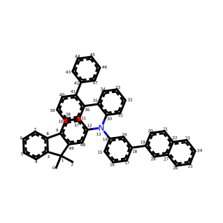 CC1(C)c2ccccc2-c2ccc(N(c3cccc(-c4ccc5ccccc5c4)c3)c3ccccc3-c3ccccc3-c3ccccc3)cc21